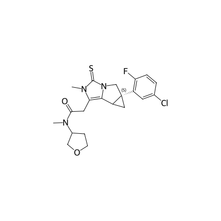 CN(C(=O)Cc1c2n(c(=S)n1C)C[C@@]1(c3cc(Cl)ccc3F)CC21)C1CCOC1